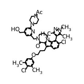 CC(=O)N1CCN(c2cc(CO)cc(CN3CCCn4c(c(CCCOc5cc(C)c(Cl)c(C)c5)c5ccc(Cl)c(-c6c(C)nn(C)c6C)c54)C3=O)n2)CC1